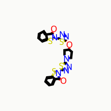 O=c1c2ccccc2sn1-c1nnc(OC2CCN(c3nnc(-n4sc5ccccc5c4=O)s3)CC2)s1